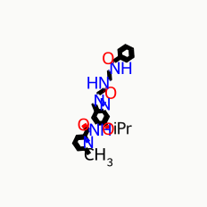 Cc1cccc(C(=O)Nc2cc3cn(CC(=O)NCCNC(=O)c4ccccc4)nc3cc2OC(C)C)n1